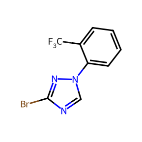 FC(F)(F)c1ccccc1-n1cnc(Br)n1